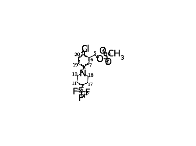 CS(=O)(=O)OCc1cc(N2CCC(C(F)(F)F)CC2)ccc1Cl